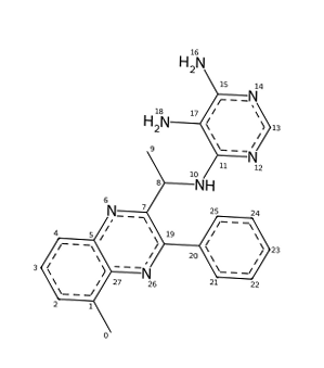 Cc1cccc2nc(C(C)Nc3ncnc(N)c3N)c(-c3ccccc3)nc12